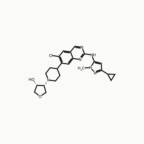 Cn1nc(C2CC2)cc1Nc1ncc2cc(Cl)c(C3CCN([C@@H]4COC[C@@H]4O)CC3)cc2n1